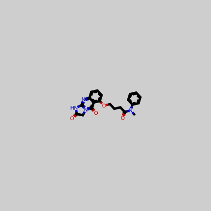 CN(C(=O)CCCOc1cccc2nc3n(c(=O)c12)CC(=O)N3)c1ccccc1